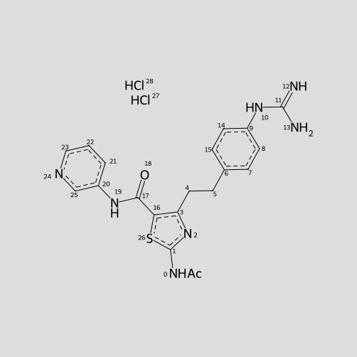 CC(=O)Nc1nc(CCc2ccc(NC(=N)N)cc2)c(C(=O)Nc2cccnc2)s1.Cl.Cl